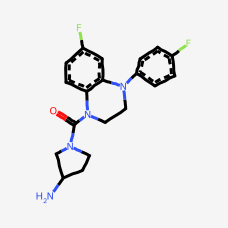 NC1CCN(C(=O)N2CCN(c3ccc(F)cc3)c3cc(F)ccc32)C1